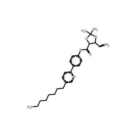 C=CC1OC(C)(C)OC1C(=O)Oc1ccc(-c2ccc(CCCCCCCC)cn2)cc1